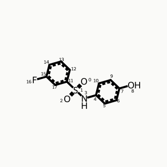 O=S(=O)(Nc1ccc(O)cc1)c1cccc(F)c1